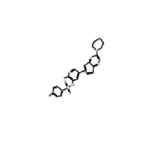 O=S(=O)(Nc1cc(-c2ccc3ncc(N4CCCCC4)nc3c2)cnc1Cl)c1ccc(F)cc1